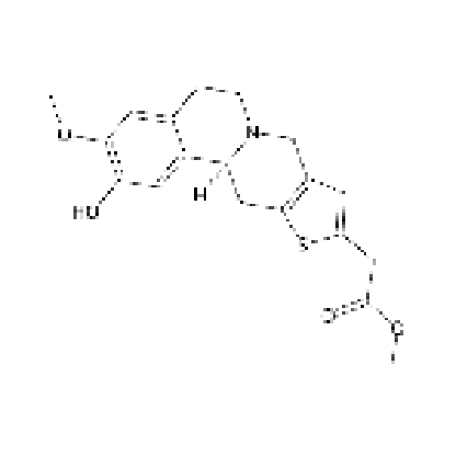 COC(=O)Cc1cc2c(s1)C[C@H]1c3cc(O)c(OC)cc3CCN1C2